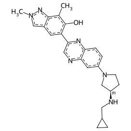 Cc1c(O)c(-c2cnc3cc(N4CC[C@@H](NCC5CC5)C4)ccc3n2)cc2cn(C)nc12